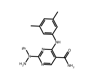 Cc1cc(C)cc(Nc2nc(N(N)C(C)C)ncc2C(N)=O)c1